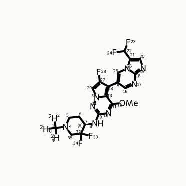 [2H]C([2H])([2H])N1CC[C@@H](Nc2nc(OC)c3c(-c4cnc5ncc(C(F)F)n5c4)c(F)cn3n2)C(F)(F)C1